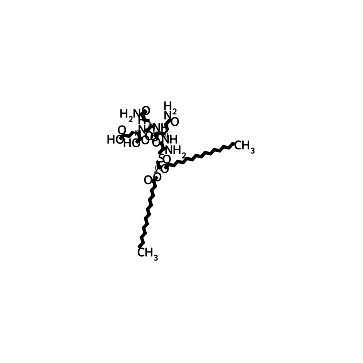 CCCCCCCCCCCCCCCC(=O)OC[C@H](CSCC(N)C(=O)N[C@H](CCC(N)=O)C(=O)N[C@@H](CCC(N)=O)C(=O)N[C@H](CCC(=O)O)C(=O)O)OC(=O)CCCCCCCCCCCCCCC